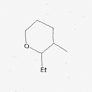 [CH2]CC1OCCCC1C